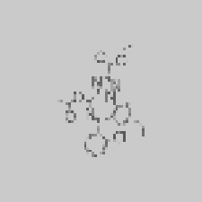 CCOC(=O)c1nc2n(n1)-c1sc(CC)cc1C(c1ccccc1Cl)=NC2OC(C)=O